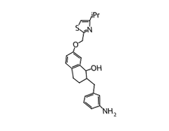 CC(C)c1csc(COc2ccc3c(c2)C(O)C(Cc2cccc(N)c2)CC3)n1